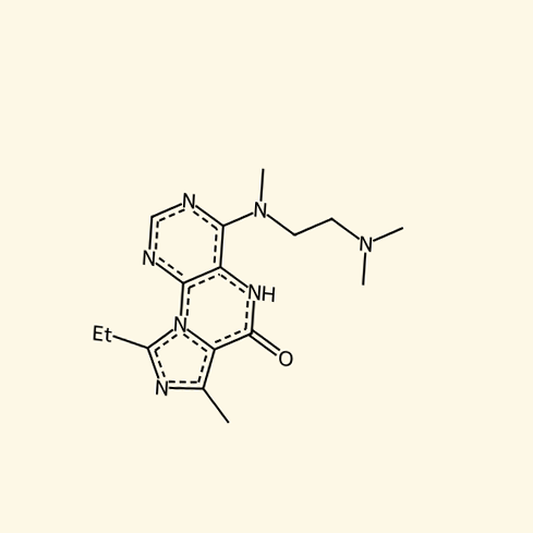 CCc1nc(C)c2c(=O)[nH]c3c(N(C)CCN(C)C)ncnc3n12